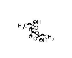 CCP(=O)(O)O[PH](=O)OP(=O)(O)CC